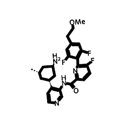 COCCc1cc(F)c(-c2nc(C(=O)Nc3cnccc3[C@@H]3C[C@H](C)C[C@H](N)C3)ccc2F)c(F)c1